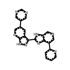 c1ccc(-c2cncc3[nH]c(-c4n[nH]c5ncc(-c6cncnc6)cc45)nc23)nc1